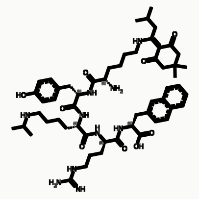 CC(C)CC(NCCCC[C@H](N)C(=O)N[C@@H](Cc1ccc(O)cc1)C(=O)N[C@@H](CCCCNC(C)C)C(=O)N[C@H](CCCNC(=N)N)C(=O)N[C@@H](Cc1ccc2ccccc2c1)C(=O)O)=C1C(=O)CC(C)(C)CC1=O